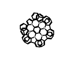 c1ccc(-c2ccc(-c3ccccc3)n2-c2c(-n3c4ccccc4c4ccccc43)c(-n3c4ccccc4c4ccccc43)c(-n3c4ccccc4c4ccccc43)c(-n3c4ccccc4c4ccccc43)c2-n2c3ccccc3c3ccccc32)cc1